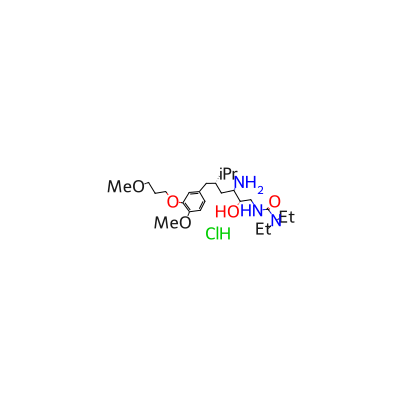 CCN(CC)C(=O)NC[C@H](O)[C@@H](N)C[C@H](Cc1ccc(OC)c(OCCCOC)c1)C(C)C.Cl